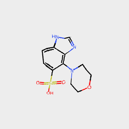 O=S(=O)(O)c1ccc2[nH][c]nc2c1N1CCOCC1